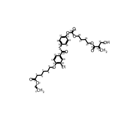 C=COC(=O)CCCCCOc1ccc(C(=O)Sc2ccc(OC(=O)OCCCCOC(=O)C(=C)CO)cc2)cc1CC